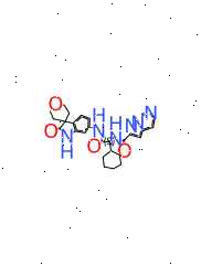 O=C(N[C@H](C(=O)Nc1ccc2c(c1)NC(=O)C21CCOCC1)C1CCCCC1)c1cc2ccncn2n1